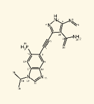 C=Nc1[nH]nc(C#Cc2cc3ncn(C(C)C)c3cc2P)c1C(=C)N